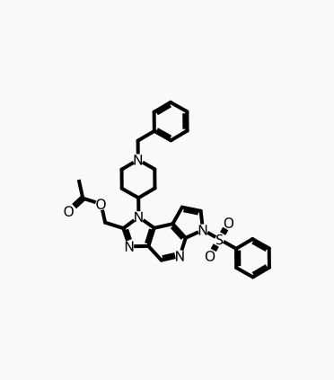 CC(=O)OCc1nc2cnc3c(ccn3S(=O)(=O)c3ccccc3)c2n1C1CCN(Cc2ccccc2)CC1